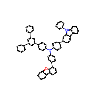 c1ccc(-c2cc(-c3ccccc3)cc(-c3ccc(N(c4ccc(-c5ccc6c7ccccc7n(-c7ccccc7)c6c5)cc4)c4ccc(-c5cccc6c5oc5ccccc56)cc4)cc3)c2)cc1